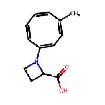 CC1=C/C=C(N2CCC2C(=O)O)\C=C/C=C\1